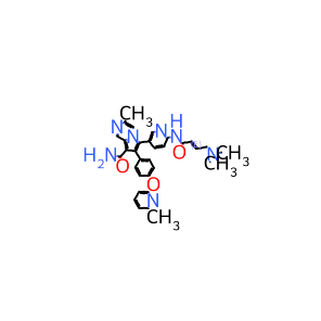 Cc1cn2c(-c3ccc(NC(=O)/C=C/CN(C)C)nc3)c(-c3ccc(Oc4cccc(C)n4)cc3)c(C(N)=O)c2cn1